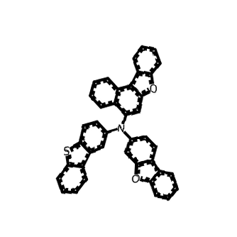 c1ccc2c(c1)oc1cc(N(c3ccc4sc5ccccc5c4c3)c3cc4oc5ccccc5c4c4ccccc34)ccc12